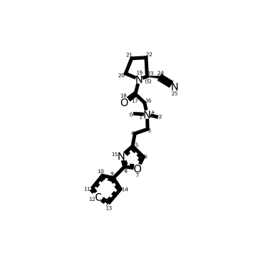 C[N+](C)(CCc1coc(-c2ccccc2)n1)CC(=O)N1CCC[C@H]1C#N